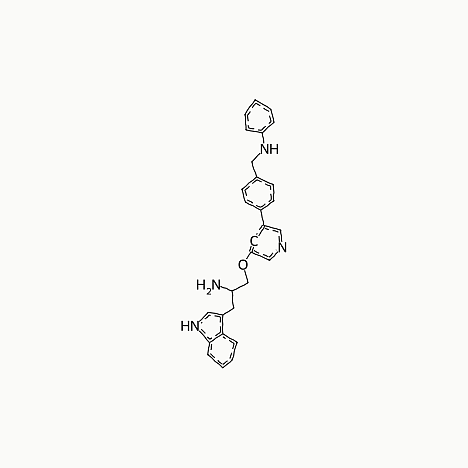 NC(COc1cncc(-c2ccc(CNc3ccccc3)cc2)c1)Cc1c[nH]c2ccccc12